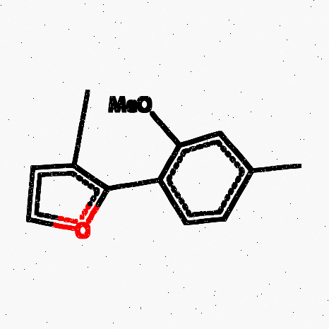 COc1cc(C)ccc1-c1occc1C